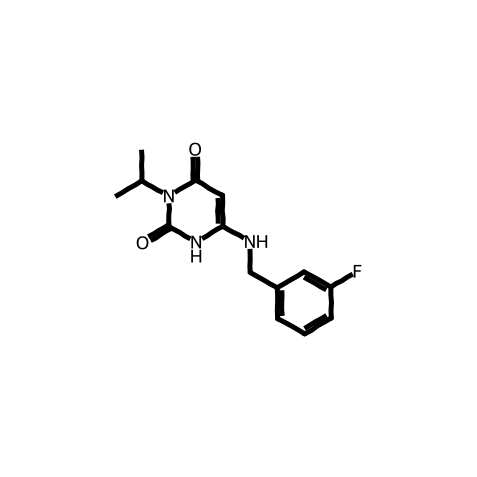 CC(C)n1c(=O)cc(NCc2cccc(F)c2)[nH]c1=O